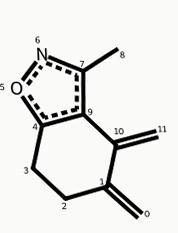 C=C1CCc2onc(C)c2C1=C